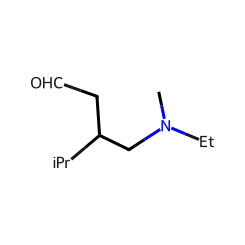 CCN(C)CC(CC=O)C(C)C